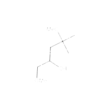 COCC(O)CC(C)(C)OC